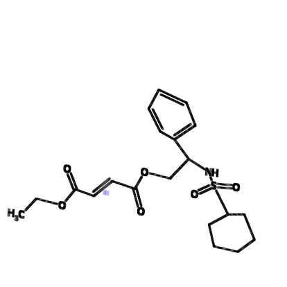 CCOC(=O)/C=C/C(=O)OCC(NS(=O)(=O)C1CCCCC1)c1ccccc1